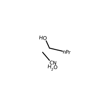 CC#N.CCCCO.O